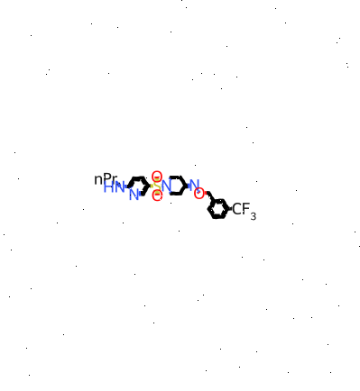 CCCNc1ccc(S(=O)(=O)N2CCC(=NOCc3cccc(C(F)(F)F)c3)CC2)cn1